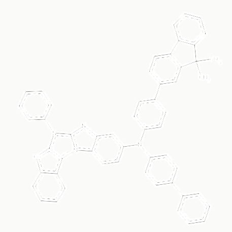 CC1(C)c2ccccc2-c2ccc(-c3ccc(N(c4ccc(-c5ccccc5)cc4)c4ccc5c(c4)nc4n(-c6ccccc6)c6oc7ccccc7c6n54)cc3)cc21